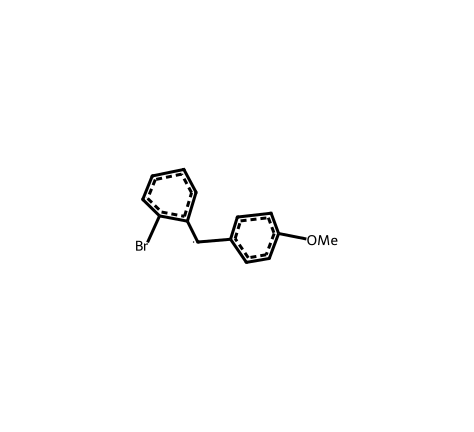 COc1ccc([CH]c2ccccc2Br)cc1